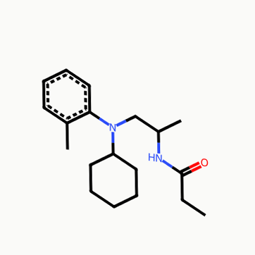 CCC(=O)NC(C)CN(c1ccccc1C)C1CCCCC1